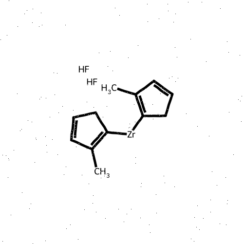 CC1=[C]([Zr][C]2=C(C)C=CC2)CC=C1.F.F